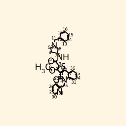 COc1c(C(=O)NC2CCN(Cc3ccccc3)C2)sc2c1c(=O)n(Cc1ccccn1)c1ccccc21